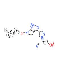 C[Si](C)(C)CCOCn1ccc2c(-c3cnn(C4(CC#N)CC(O)C4)c3)ncnc21